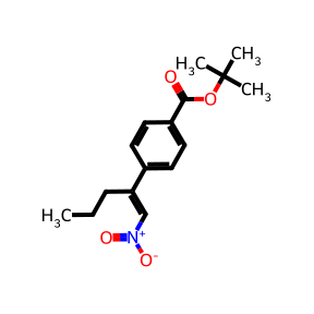 CCCC(=C[N+](=O)[O-])c1ccc(C(=O)OC(C)(C)C)cc1